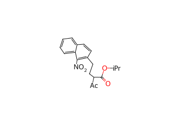 CC(=O)C(CCc1ccc2ccccc2c1[N+](=O)[O-])C(=O)OC(C)C